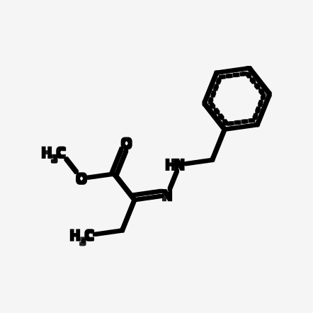 CCC(=NNCc1ccccc1)C(=O)OC